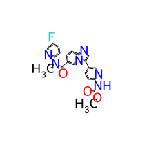 COC(=O)Nc1ccc(-c2cnc3ccc(C(=O)N(C)c4ccc(F)cn4)cn23)cn1